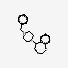 c1ccc(CN2CCN(C3CCCOc4ccccc43)CC2)cc1